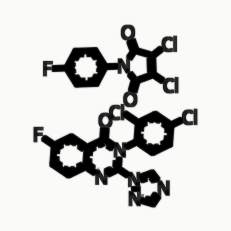 O=C1C(Cl)=C(Cl)C(=O)N1c1ccc(F)cc1.O=c1c2cc(F)ccc2nc(-n2cncn2)n1-c1ccc(Cl)cc1Cl